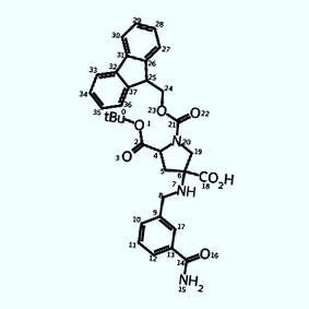 CC(C)(C)OC(=O)C1CC(NCc2cccc(C(N)=O)c2)(C(=O)O)CN1C(=O)OCC1c2ccccc2-c2ccccc21